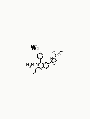 CCCc1nc2ccc(-c3nc(C(=O)OCC)cs3)cc2c(-c2ccc(C)cc2)c1CN.Cl.Cl